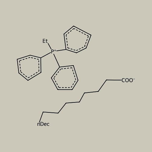 CCCCCCCCCCCCCCCCCC(=O)[O-].CC[P+](c1ccccc1)(c1ccccc1)c1ccccc1